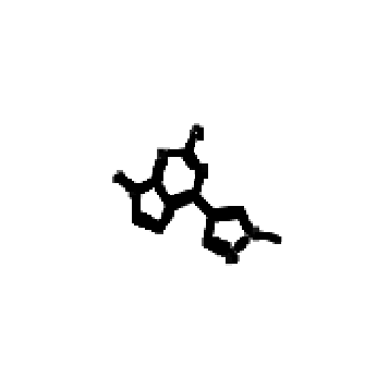 Cn1cc(-c2nc(Cl)nc3c2ccn3C)cn1